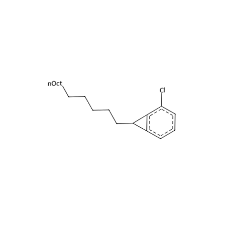 CCCCCCCCCCCCCC1c2cccc(Cl)c21